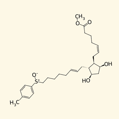 COC(=O)CCC/C=C\C[C@@H]1[C@@H](C/C=C/CCCCC[S+]([O-])c2ccc(C)cc2)[C@H](O)C[C@@H]1O